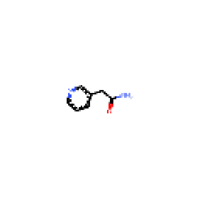 NC(=O)Cc1cccnc1